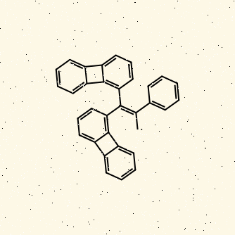 [CH2]C(=C(c1cccc2c1-c1ccccc1-2)c1cccc2c1-c1ccccc1-2)c1ccccc1